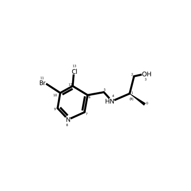 C[C@H](CO)NCc1cncc(Br)c1Cl